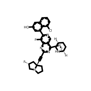 Oc1cc(-c2ncc3c(N4C[C@H]5CC[C@@H]4CN5)nc(C#C[C@@]45CCCN4C[C@H](F)C5)nc3c2F)c2c(Cl)cccc2c1